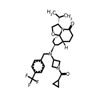 CC(C)[C@H]1CO[C@]23CC[C@H](N(Cc4ccc(C(F)(F)F)cc4)C4CN(C(=O)C5CC5)C4)C[C@H]2CCC(=O)N13